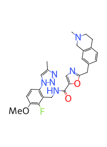 COc1ccc(-n2cc(C)nn2)c(CNC(=O)c2cnc(Cc3ccc4c(c3)CN(C)CC4)o2)c1F